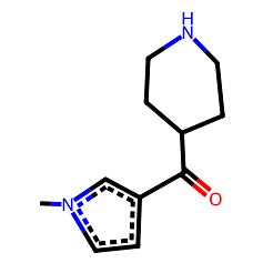 Cn1ccc(C(=O)C2CCNCC2)c1